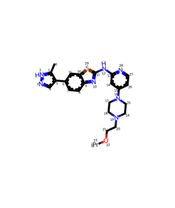 Cc1[nH]ncc1-c1ccc2nc(Nc3cc(N4CCN(CCOC(C)C)CC4)ccn3)sc2c1